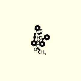 CCC(=O)Oc1cccc(C#CCN2CCSc3ccccc32)c1Nc1ccccc1C(=O)c1ccccc1